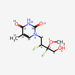 COC(F)(CO)C(F)Cn1cc(C)c(=O)[nH]c1=O